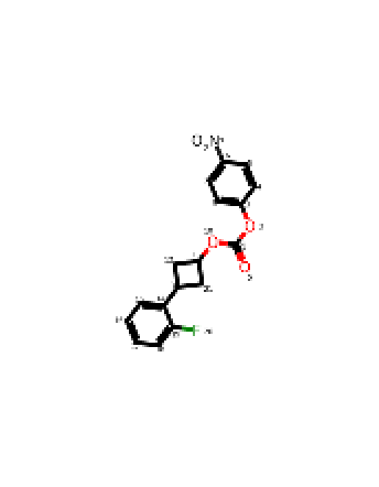 O=C(Oc1ccc([N+](=O)[O-])cc1)OC1CC(c2ccccc2F)C1